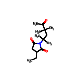 BC(=O)C(C)(C)CC(C)(C)N1C(=O)CC(CC)C1=O